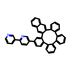 c1cncc(-c2ccc(-c3ccc4c5ccccc5c5ccccc5c5ccccc5c5cc6ccccc6cc5c4c3)cn2)c1